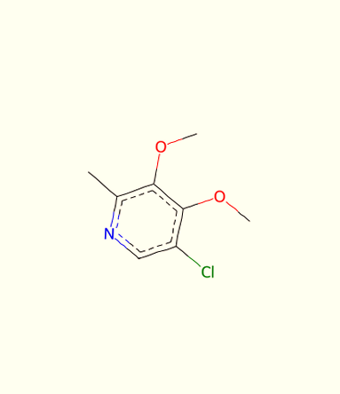 COc1c(Cl)cnc(C)c1OC